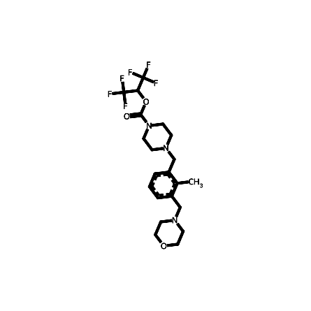 Cc1c(CN2CCOCC2)cccc1CN1CCN(C(=O)OC(C(F)(F)F)C(F)(F)F)CC1